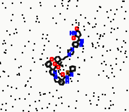 Cn1nc(C2CCC(=O)NC2=O)c2ccc(N3CCN(CCCC4CCC(Oc5cccc(-c6ccc(N7CCc8cccc(C(=O)Nc9nc%10ccccc%10s9)c8C7)nc6C(=O)OC(C)(C)C)c5)CC4)CC3)cc21